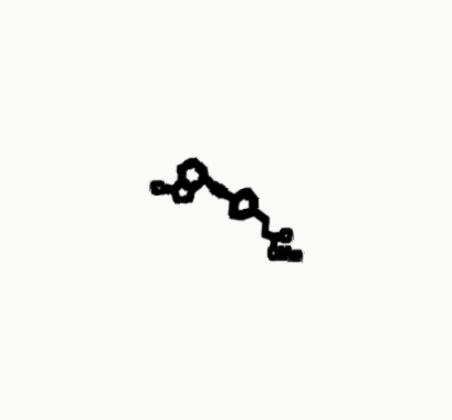 COC(=O)CCc1ccc(C#Cc2cccc3c2CCC3=O)cc1